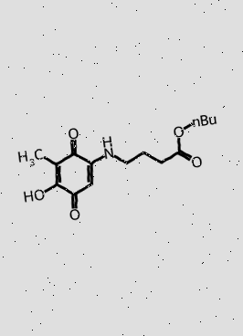 CCCCOC(=O)CCCNC1=CC(=O)C(O)=C(C)C1=O